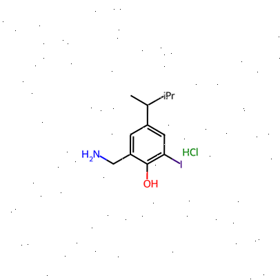 CC(C)C(C)c1cc(I)c(O)c(CN)c1.Cl